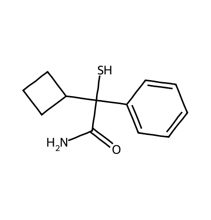 NC(=O)C(S)(c1ccccc1)C1CCC1